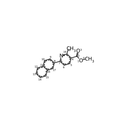 COC(=O)c1ccc(-c2ccc3ccccc3c2)nc1C